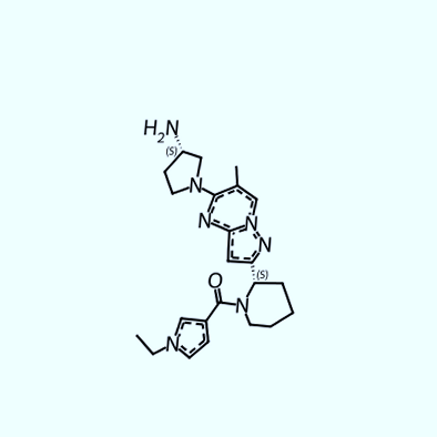 CCn1ccc(C(=O)N2CCCC[C@H]2c2cc3nc(N4CC[C@H](N)C4)c(C)cn3n2)c1